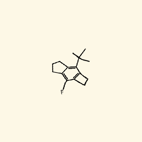 CC(C)(C)c1c2c(c(F)c3c1CC3)CCC2